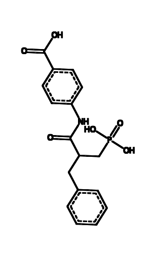 O=C(O)c1ccc(NC(=O)C(Cc2ccccc2)CP(=O)(O)O)cc1